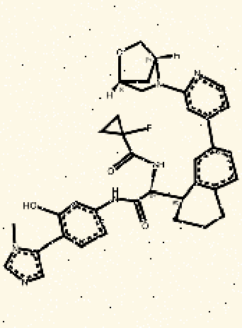 Cn1cncc1-c1ccc(NC(=O)[C@@H](NC(=O)C2(F)CC2)[C@@H]2CCCc3ccc(-c4ccnc(N5C[C@H]6C[C@@H]5CO6)c4)cc32)cc1O